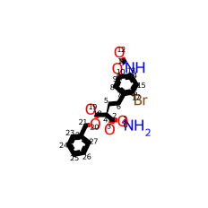 NOC(=O)[C@H](CCc1cc2oc(=O)[nH]c2cc1Br)C(=O)OCc1ccccc1